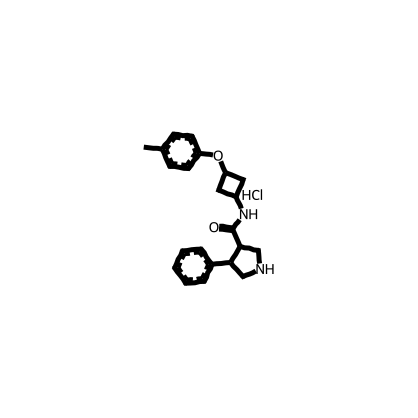 Cc1ccc(OC2CC(NC(=O)C3CNCC3c3ccccc3)C2)cc1.Cl